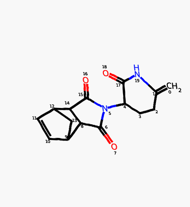 C=C1CCC(N2C(=O)C3C4C=CC(C4)C3C2=O)C(=O)N1